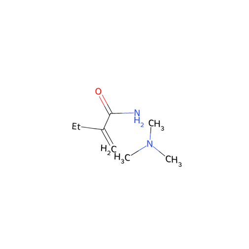 C=C(CC)C(N)=O.CN(C)C